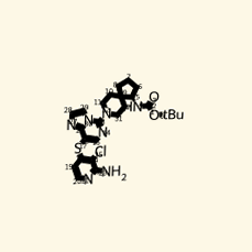 CC(C)(C)OC(=O)N[C@@H]1CCCC12CCN(c1ncc(Sc3ccnc(N)c3Cl)c3nccn13)CC2